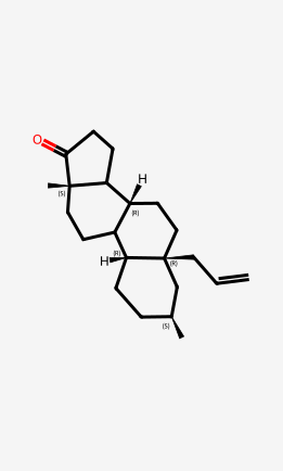 C=CC[C@]12CC[C@@H]3C(CC[C@]4(C)C(=O)CCC34)[C@H]1CC[C@H](C)C2